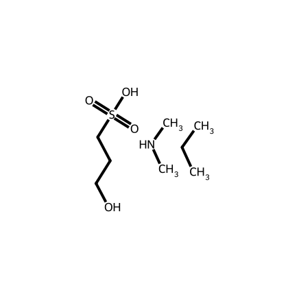 CCC.CNC.O=S(=O)(O)CCCO